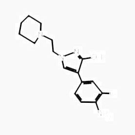 Nc1ccc(-c2cn(CCN3CCCCC3)nc2O)cc1Cl